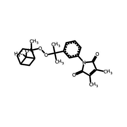 CC1=C(C)C(=O)N(c2cccc(C(C)(C)OOC3(C)CCC4CC3C4(C)C)c2)C1=O